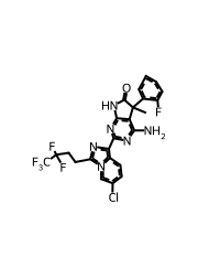 CC1(c2ccccc2F)C(=O)Nc2nc(-c3nc(CCC(F)(F)C(F)(F)F)n4cc(Cl)ccc34)nc(N)c21